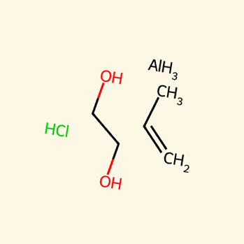 C=CC.Cl.OCCO.[AlH3]